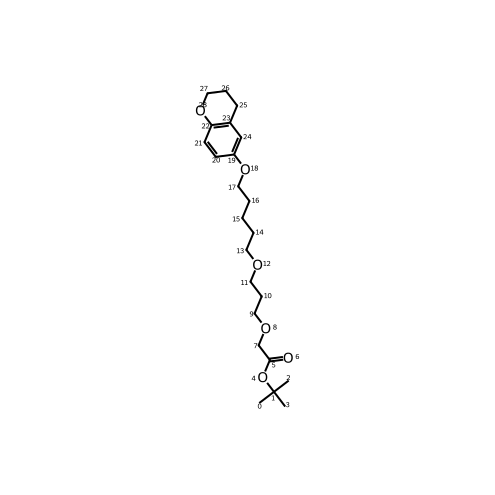 CC(C)(C)OC(=O)COCCCOCCCCCOc1ccc2c(c1)CCCO2